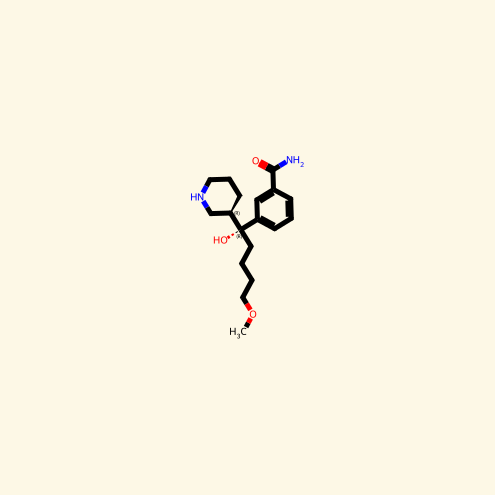 COCCCC[C@](O)(c1cccc(C(N)=O)c1)[C@@H]1CCCNC1